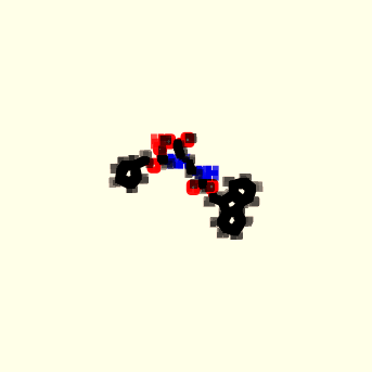 O=C(NCC[C@H](NC(=O)OCc1ccccc1)C(=O)O)OCC1c2ccccc2-c2ccccc21